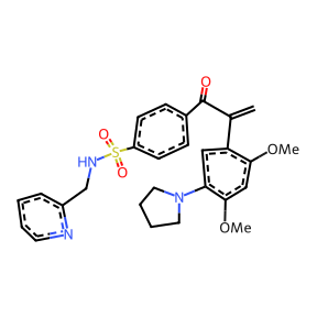 C=C(C(=O)c1ccc(S(=O)(=O)NCc2ccccn2)cc1)c1cc(N2CCCC2)c(OC)cc1OC